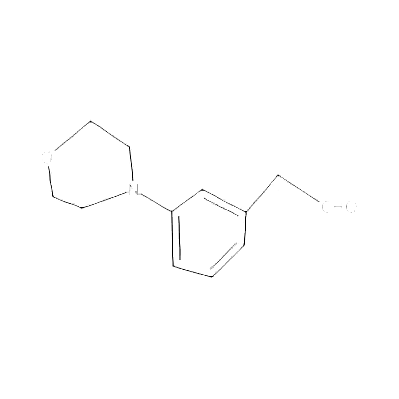 O=CCc1cccc(N2CCOCC2)c1